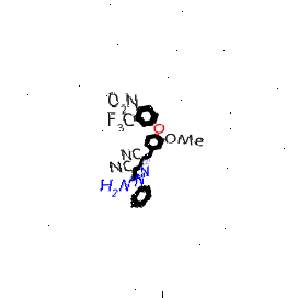 COc1cc(/C=C(\C#N)c2nn(-c3ccccc3)c(N)c2C#N)ccc1Oc1ccc([N+](=O)[O-])c(C(F)(F)F)c1